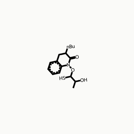 CCCCC1Cc2ccccc2N(OC(S)C(C)O)C1=O